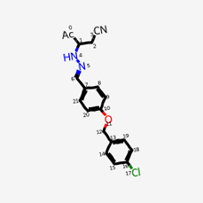 CC(=O)C(CC#N)NN=Cc1ccc(OCc2ccc(Cl)cc2)cc1